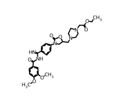 CCOC(=O)CN1CCN(CC2CN(c3ccc(C(=N)NC(=O)c4ccc(OC)c(OC)c4)cc3)C(=O)O2)CC1